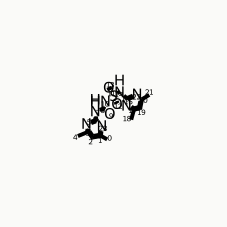 Cc1cc(C)nc(NC(=O)NS(=O)(=O)Nc2nc(C)cc(C)n2)n1